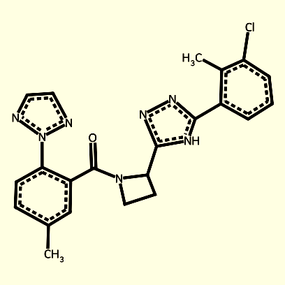 Cc1ccc(-n2nccn2)c(C(=O)N2CCC2c2nnc(-c3cccc(Cl)c3C)[nH]2)c1